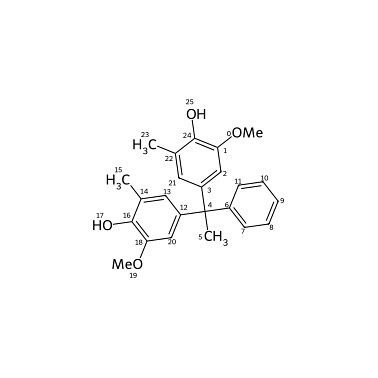 COc1cc(C(C)(c2ccccc2)c2cc(C)c(O)c(OC)c2)cc(C)c1O